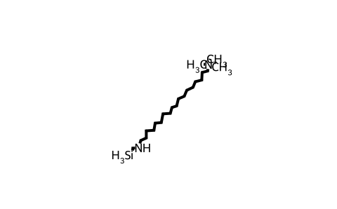 C[N+](C)(C)CCCCCCCCCCCCCCCCCCNC[SiH3]